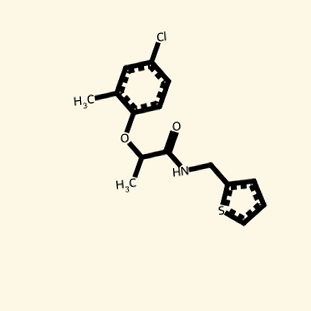 Cc1cc(Cl)ccc1OC(C)C(=O)NCc1cccs1